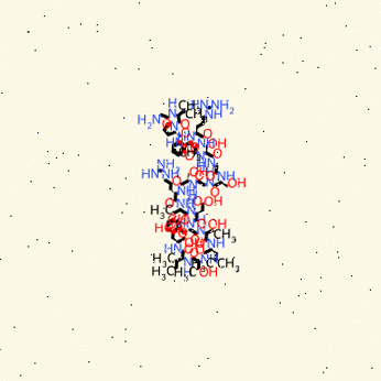 CC[C@H](C)[C@H](NC(=O)[C@@H](NC(=O)[C@H](CC(C)C)NC(=O)[C@@H](NC(=O)[C@H](Cc1ccccc1)NC(=O)[C@H](CC(=O)O)NC(=O)[C@@H](NC(=O)[C@H](CCCNC(=N)N)NC(=O)[C@H](CO)NC(=O)CNC(=O)[C@H](CO)NC(=O)CNC(=O)[C@H](CO)NC(=O)[C@H](Cc1ccccc1)NC(=O)[C@H](CCCNC(=N)N)NC(=O)[C@H](C)NC(=O)[C@@H]1CCCN1C(=O)[C@@H](NC(=O)CN)C(C)C)[C@@H](C)O)[C@@H](C)O)[C@@H](C)O)C(=O)N[C@@H](CC(=O)O)C(=O)O